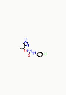 CCC(ONC(=O)NCc1ccc(Cl)cc1)c1c[nH]cn1